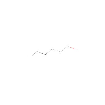 [CH2]CCCCCCCO